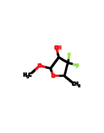 COC1OC(C)C(F)(F)C1O